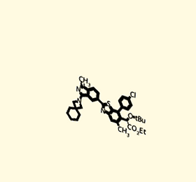 CCOC(=O)[C@@H](OC(C)(C)C)c1c(C)cc2nc(-c3ccc4c(c3)c(N3CC5(CCCCC5)C3)nn4C)sc2c1-c1ccc(Cl)cc1